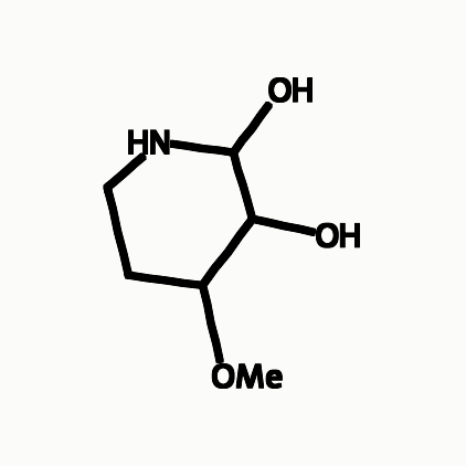 COC1CCNC(O)C1O